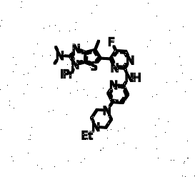 CCN1CCN(c2ccc(Nc3ncc(F)c(-c4sc5c(nc(N(C)C)n5C(C)C)c4C)n3)nc2)CC1